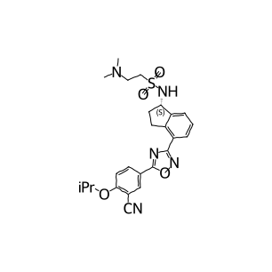 CC(C)Oc1ccc(-c2nc(-c3cccc4c3CC[C@@H]4NS(=O)(=O)CCN(C)C)no2)cc1C#N